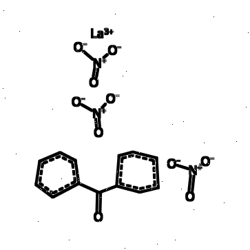 O=C(c1ccccc1)c1ccccc1.O=[N+]([O-])[O-].O=[N+]([O-])[O-].O=[N+]([O-])[O-].[La+3]